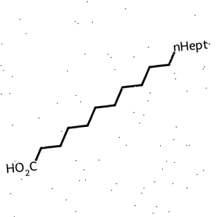 CCCCCC[CH]CCCCCCCCCCC(=O)O